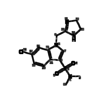 CN(C)S(=O)(=O)c1cn(CC2=NCCN2)c2cc(Cl)ccc12